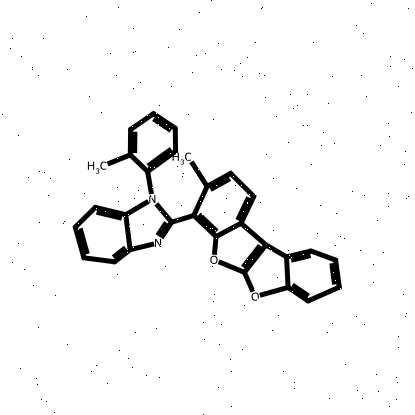 Cc1ccccc1-n1c(-c2c(C)ccc3c2oc2oc4ccccc4c23)nc2ccccc21